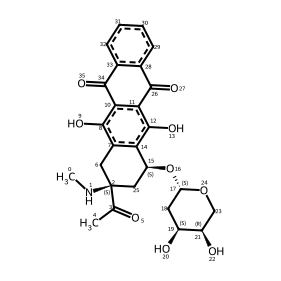 CN[C@@]1(C(C)=O)Cc2c(O)c3c(c(O)c2[C@@H](O[C@H]2C[C@H](O)[C@H](O)CO2)C1)C(=O)c1ccccc1C3=O